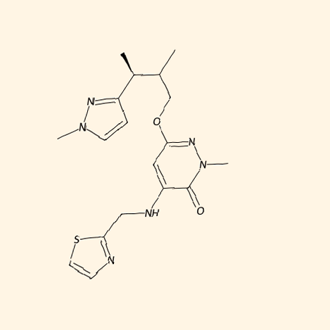 CC(COc1cc(NCc2nccs2)c(=O)n(C)n1)[C@H](C)c1ccn(C)n1